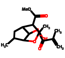 C=C(C)C(=O)OC1C2CC(C)C1OC(C)(O)C2C(=O)OC